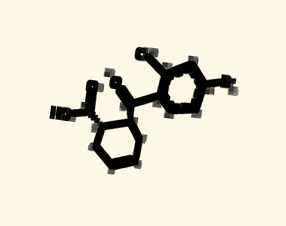 O=C(O)[C@H]1CC=CC[C@@H]1C(=O)c1ccc(Br)cc1Cl